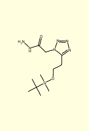 CC(C)(C)[Si](C)(C)OCCc1nnnn1CC(=O)NN